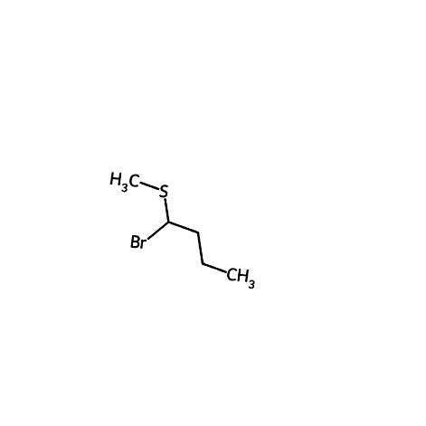 CCCC(Br)SC